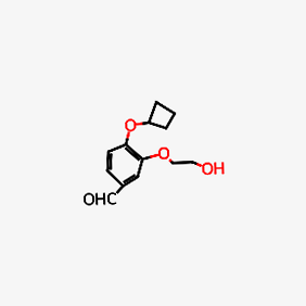 O=Cc1ccc(OC2CCC2)c(OCCO)c1